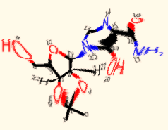 CC1(C)O[C@@H]2[C@H](O1)C(CO)O[C@H]2n1cnc(C(N)=O)c1O